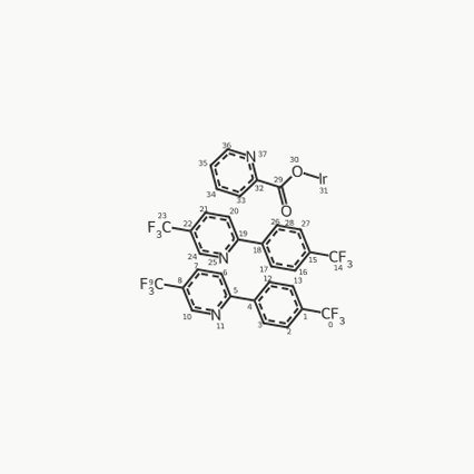 FC(F)(F)c1ccc(-c2ccc(C(F)(F)F)cn2)cc1.FC(F)(F)c1ccc(-c2ccc(C(F)(F)F)cn2)cc1.O=C([O][Ir])c1ccccn1